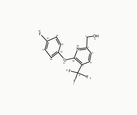 OCc1ccc(C(F)(F)F)c(Oc2ccc(F)cc2)n1